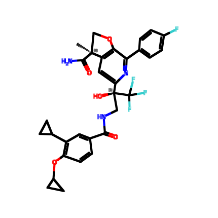 C[C@]1(C(N)=O)COc2c1cc([C@@](O)(CNC(=O)c1ccc(OC3CC3)c(C3CC3)c1)C(F)(F)F)nc2-c1ccc(F)cc1